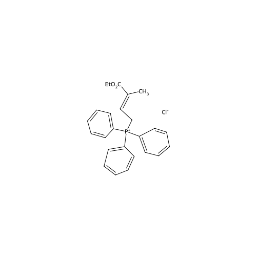 CCOC(=O)C(C)=CC[P+](c1ccccc1)(c1ccccc1)c1ccccc1.[Cl-]